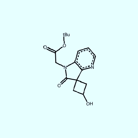 CC(C)(C)OC(=O)CN1C(=O)C2(CC(O)C2)c2ncccc21